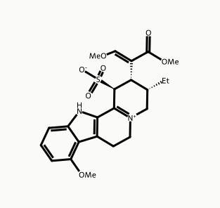 CC[C@@H]1C[N+]2=C(c3[nH]c4cccc(OC)c4c3CC2)[C@@H](S(=O)(=O)[O-])[C@@H]1/C(=C\OC)C(=O)OC